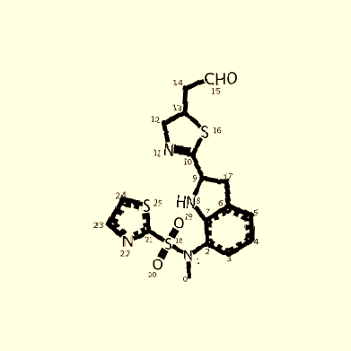 CN(c1cccc2c1NC(C1=NCC(CC=O)S1)C2)S(=O)(=O)c1nccs1